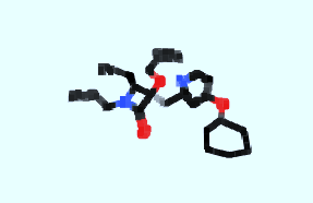 COCO[C@@]1(Cc2cc(OC3CCCCC3)ccn2)C(=O)N(COC)[C@H]1CC(C)C